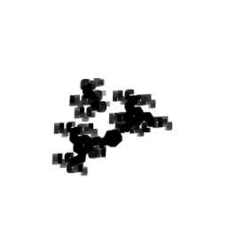 CC(=O)[O-].CC(=O)[O-].CC(C)Cc1cc(C=NC2CCC(N=Cc3cc(CC(C)C)cc(CC(C)C)c3O)C2)c(O)c(CC(C)C)c1.[Co+2]